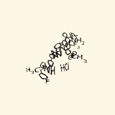 CC(C)[C@H](N)C(=O)OCOC(=O)N(c1nc2ccc(-c3ccc(NC(=O)[C@H](C)c4ccc(F)cc4)cc3)cn2n1)c1ccc(S(C)(=O)=O)cc1OCC(F)(F)F.Cl